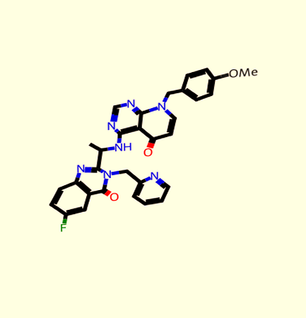 COc1ccc(Cn2ccc(=O)c3c(NC(C)c4nc5ccc(F)cc5c(=O)n4Cc4ccccn4)ncnc32)cc1